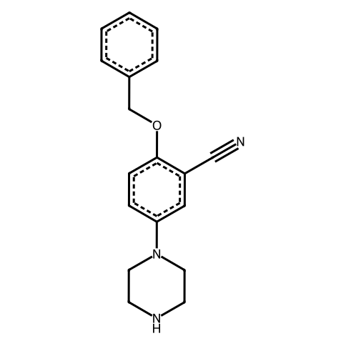 N#Cc1cc(N2CCNCC2)ccc1OCc1ccccc1